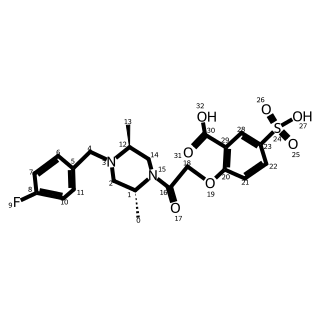 C[C@@H]1CN(Cc2ccc(F)cc2)[C@@H](C)CN1C(=O)COc1ccc(S(=O)(=O)O)cc1C(=O)O